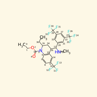 CCOC(=O)N1c2ccc(C(F)(F)F)cc2C(C(NC)c2cc(C(F)(F)F)cc(C(F)(F)F)c2)CC1CC